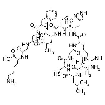 CC(C)C[C@H](NC(=O)[C@H](C)N)C(=O)N[C@@H](CS)C(=O)NCC(=O)N[C@@H](CCCNC(=N)N)C(=O)N[C@@H](Cc1c[nH]cn1)C(=O)N[C@@H](CS)C(=O)N[C@@H](CC(C)C)C(=O)N[C@@H](Cc1ccccc1)C(=O)NCC(=O)NCC(=O)N[C@@H](CCCCN)C(=O)O